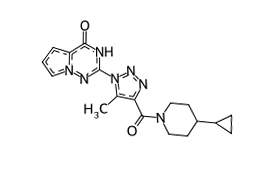 Cc1c(C(=O)N2CCC(C3CC3)CC2)nnn1-c1nn2cccc2c(=O)[nH]1